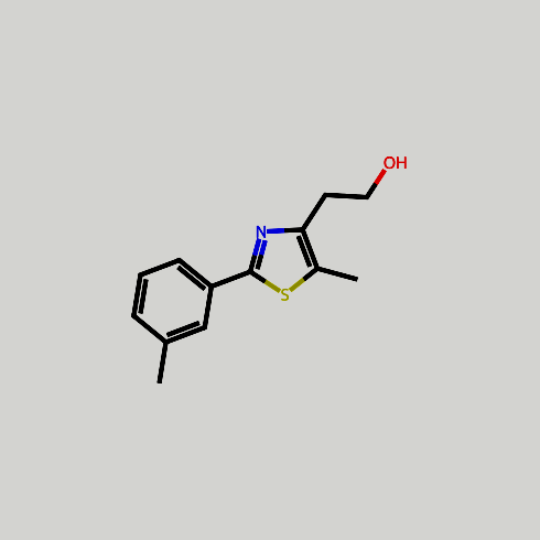 Cc1cccc(-c2nc(CCO)c(C)s2)c1